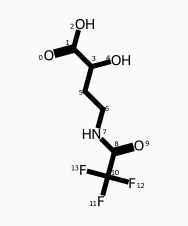 O=C(O)C(O)CCNC(=O)C(F)(F)F